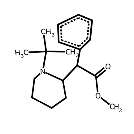 COC(=O)C(c1ccccc1)C1CCCCN1C(C)(C)C